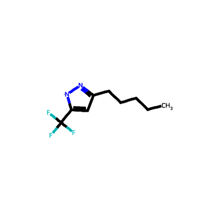 CCCCCC1=N[N]C(C(F)(F)F)=C1